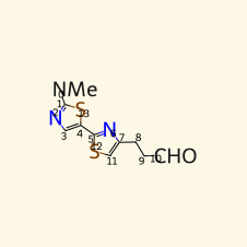 CNc1ncc(-c2nc(CCC=O)cs2)s1